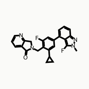 Cn1nc2cccc(-c3cc(F)c(CN4Cc5ncccc5C4=O)c(C4CC4)c3)c2c1F